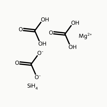 O=C(O)O.O=C(O)O.O=C([O-])[O-].[Mg+2].[SiH4]